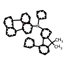 CC1(C)c2ccc(N(c3ccccc3)c3ccc(-c4cccc5cccc(-c6ccccc6)c45)cc3)cc2-c2c(-c3ccccc3)cccc21